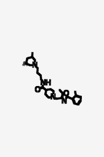 Cc1ccccc1-c1nc(CN2CCC(C(=O)NCCCCN3CC(C)C[C@@H](C)C3)CC2)c(C)o1